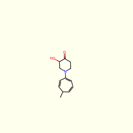 CC1C=CC=C(N2CCC(=O)C(O)C2)C=C1